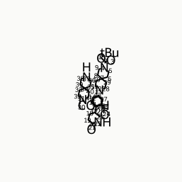 CC(C)(C)OC(=O)N1CCC2(CC1)CCN(c1ccc(C3CCC(=O)NC3=O)c(F)c1)CC2.O=C(O)N1CCC2(CCNCC2)CC1